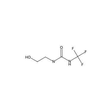 O=C([N]CCO)NC(F)(F)F